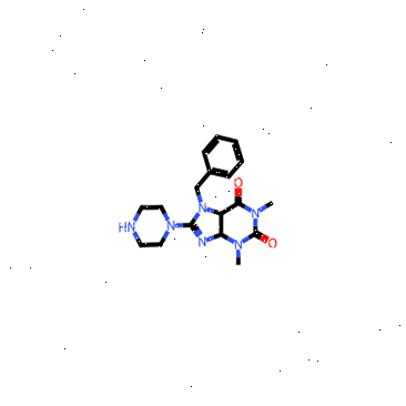 CN1C(=O)C2C(N=C(N3CCNCC3)N2Cc2ccccc2)N(C)C1=O